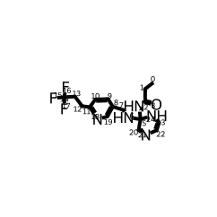 CCC(=O)NC1(NCc2ccc(CCC(F)(F)F)nc2)C=NC=CN1